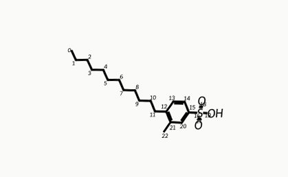 CCCCCCCCCCCCc1ccc(S(=O)(=O)O)cc1C